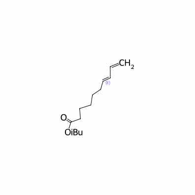 C=C/C=C/CCCCCC(=O)OCC(C)C